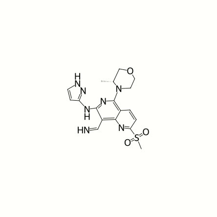 C[C@@H]1COCCN1c1nc(Nc2cc[nH]n2)c(C=N)c2nc(S(C)(=O)=O)ccc12